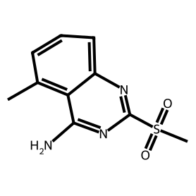 Cc1cccc2nc(S(C)(=O)=O)nc(N)c12